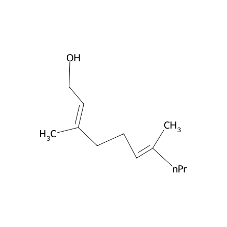 CCCC(C)=CCCC(C)=CCO